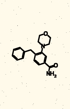 NC(=O)c1ccc(Cc2ccccc2)c(N2CCOCC2)c1